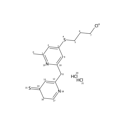 Cc1cc(SCCCCl)cc(CC2=CC(=S)CC=N2)n1.Cl.Cl